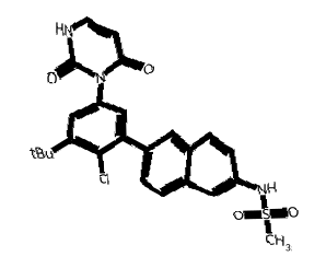 CC(C)(C)c1cc(-n2c(=O)cc[nH]c2=O)cc(-c2ccc3cc(NS(C)(=O)=O)ccc3c2)c1Cl